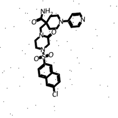 NC(=O)C1(CN2CCN(S(=O)(=O)c3ccc4cc(Cl)ccc4c3)CC2=O)CCN(c2ccncc2)CC1